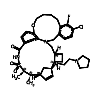 C[C@@H]1[C@@H](C)S(=O)(=O)NC(=O)c2ccc3c(c2)N(Cc2ccc(Cl)c(F)c2CCCCO3)C[C@@H]2CC[C@H]2C2(OCCN3CCCC3)C=C[C@H]1C2